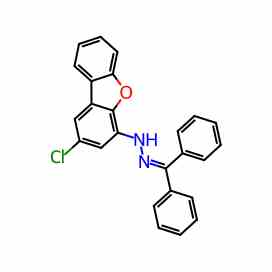 Clc1cc(NN=C(c2ccccc2)c2ccccc2)c2oc3ccccc3c2c1